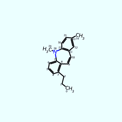 CCCc1cccc2c1C=Cc1cc(C)ccc1N2C